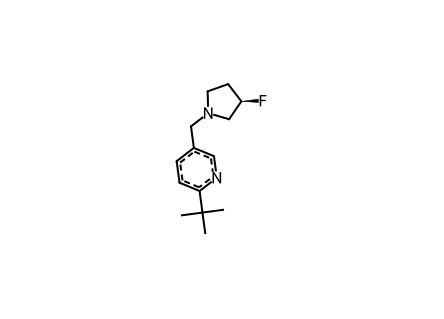 CC(C)(C)c1ccc(CN2CC[C@@H](F)C2)cn1